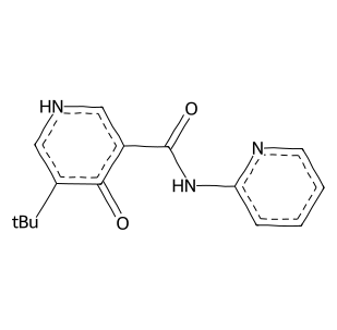 CC(C)(C)c1c[nH]cc(C(=O)Nc2ccccn2)c1=O